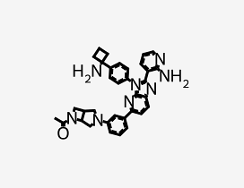 CC(=O)N1CC2CN(c3cccc(-c4ccc5nc(-c6cccnc6N)n(-c6ccc(C7(N)CCC7)cc6)c5n4)c3)CC21